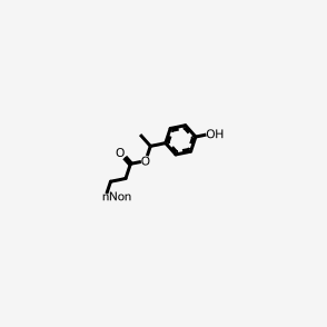 CCCCCCCCCCCC(=O)OC(C)c1ccc(O)cc1